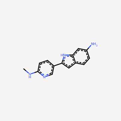 CNc1ccc(-c2cc3ccc(N)cc3[nH]2)cn1